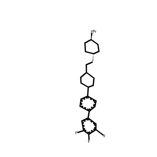 CCC[C@H]1CC[C@H](CCC2CCC(c3ccc(-c4cc(F)c(F)c(F)c4)cc3)CC2)CC1